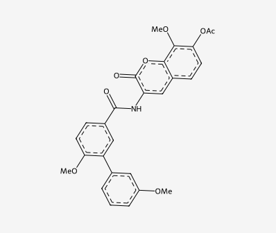 COc1cccc(-c2cc(C(=O)Nc3cc4ccc(OC(C)=O)c(OC)c4oc3=O)ccc2OC)c1